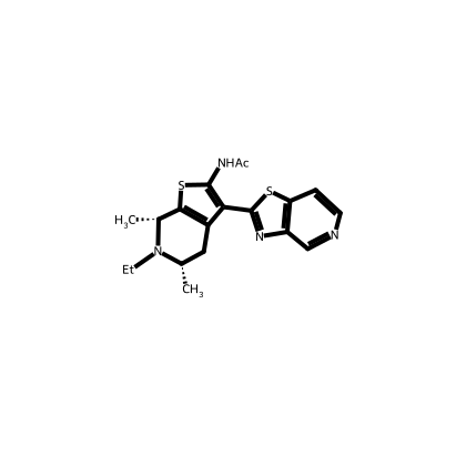 CCN1[C@H](C)c2sc(NC(C)=O)c(-c3nc4cnccc4s3)c2C[C@@H]1C